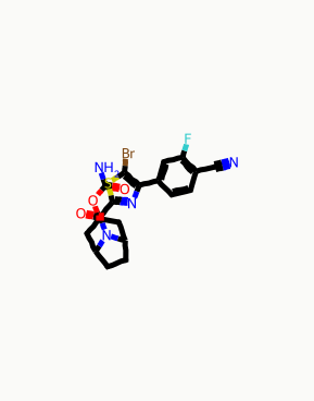 N#Cc1ccc(-c2nc(C(=O)N3C4CCC3CC(OC(N)=O)C4)sc2Br)cc1F